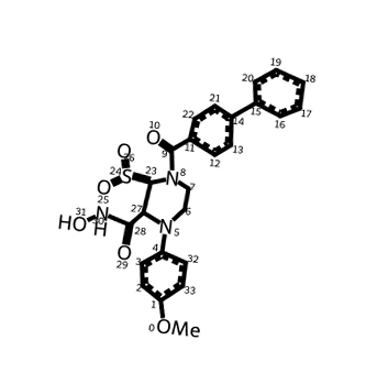 COc1ccc(N2CCN(C(=O)c3ccc(-c4ccccc4)cc3)C(=S(=O)=O)C2C(=O)NO)cc1